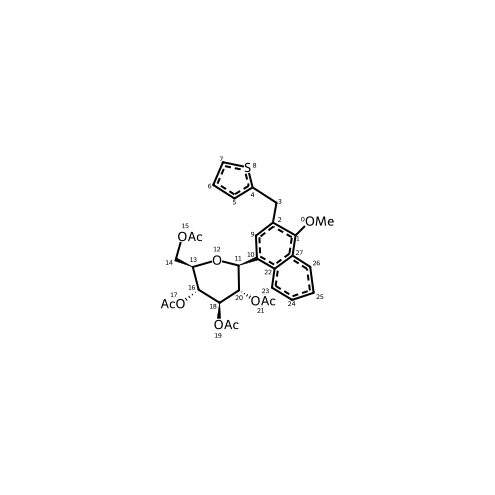 COc1c(Cc2cccs2)cc([C@@H]2O[C@H](COC(C)=O)[C@@H](OC(C)=O)[C@H](OC(C)=O)[C@H]2OC(C)=O)c2ccccc12